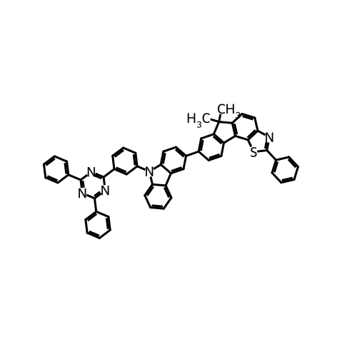 CC1(C)c2cc(-c3ccc4c(c3)c3ccccc3n4-c3cccc(-c4nc(-c5ccccc5)nc(-c5ccccc5)n4)c3)ccc2-c2c1ccc1nc(-c3ccccc3)sc21